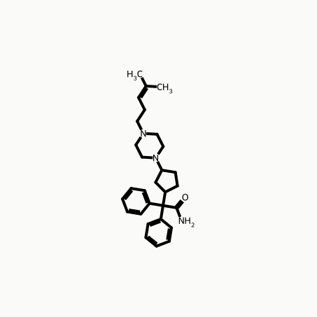 CC(C)=CCCN1CCN(C2CCC(C(C(N)=O)(c3ccccc3)c3ccccc3)C2)CC1